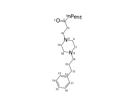 CCCCCC(=O)CCN1CCN(CCCc2ccccc2)CC1